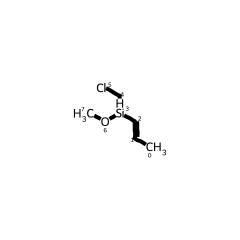 CC=C[SiH](CCl)OC